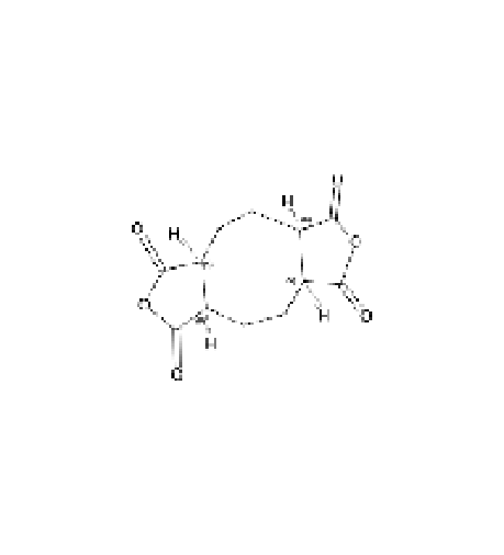 O=C1OC(=O)[C@@H]2CC[C@@H]3C(=O)OC(=O)[C@@H]3CC[C@H]12